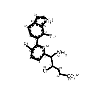 NC(c1ccc(F)c(-c2ccc3cc[nH]c3c2F)n1)C(Cl)CCC(=O)O